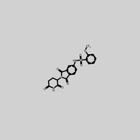 O=C1CCC(N2C(=O)c3ccc(NS(=O)(=O)c4ccccc4OC(F)(F)F)cc3C2=O)C(=O)N1